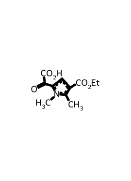 CCOC(=O)c1cc(C(=O)C(=O)O)n(C)c1C